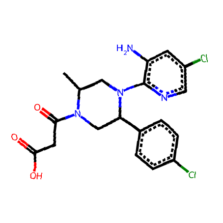 CC1CN(c2ncc(Cl)cc2N)C(c2ccc(Cl)cc2)CN1C(=O)CC(=O)O